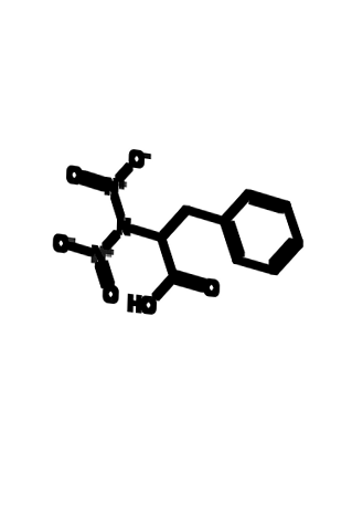 O=C(O)C(Cc1ccccc1)N([N+](=O)[O-])[N+](=O)[O-]